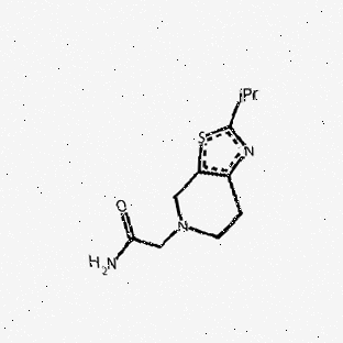 CC(C)c1nc2c(s1)CN(CC(N)=O)CC2